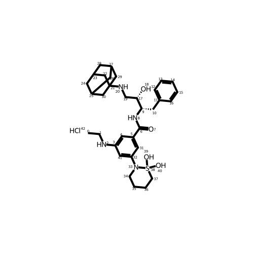 CCNc1cc(C(=O)N[C@@H](Cc2ccccc2)[C@@H](O)CNC23CC4CC(CC(C4)C2)C3)cc(N2CCCCS2(O)O)c1.Cl